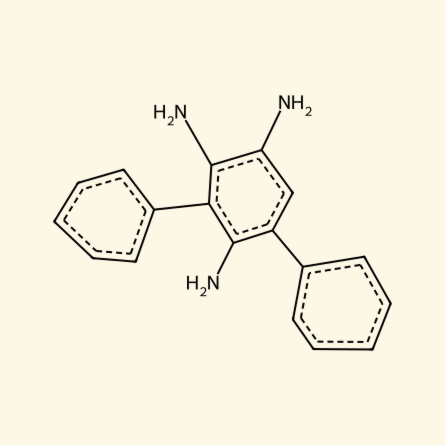 Nc1cc(-c2ccccc2)c(N)c(-c2ccccc2)c1N